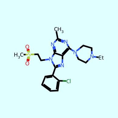 CCN1CCN(c2nc(C)nc3c2nc(-c2ccccc2Cl)n3CCS(C)(=O)=O)CC1